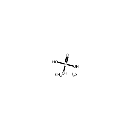 O=P(O)(O)O.S.[SiH4]